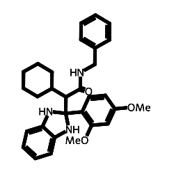 COc1ccc(C2(C(C(=O)NCc3ccccc3)C3CCCCC3)Nc3ccccc3N2)c(OC)c1